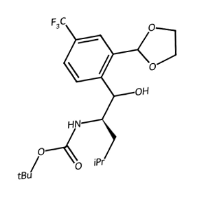 CC(C)C[C@@H](NC(=O)OC(C)(C)C)C(O)c1ccc(C(F)(F)F)cc1C1OCCO1